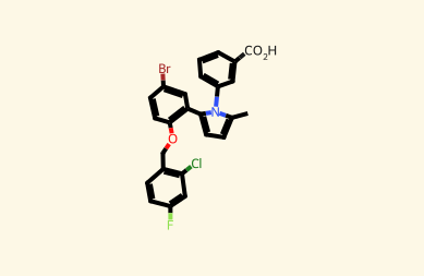 Cc1ccc(-c2cc(Br)ccc2OCc2ccc(F)cc2Cl)n1-c1cccc(C(=O)O)c1